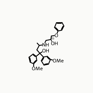 COc1cccc(C(O)(CC(C)NC[C@H](O)COc2ccccc2)c2cccc(OC)c2)c1